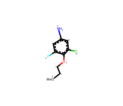 COCCOc1c(F)cc(N)cc1Cl